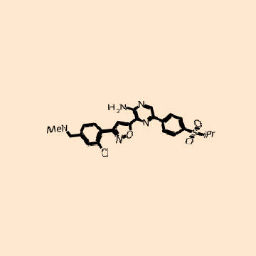 CNCc1ccc(-c2cc(-c3nc(-c4ccc(S(=O)(=O)C(C)C)cc4)cnc3N)on2)c(Cl)c1